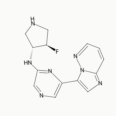 F[C@@H]1CNC[C@H]1Nc1cncc(-c2cnc3cccnn23)n1